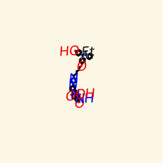 CC/C(=C(\c1ccc(O)cc1)c1ccc(OCCCCCN2CCN(c3ccc4c(c3)CN([C@H]3CCC(=O)NC3O)C4=O)CC2)cc1)c1ccccc1